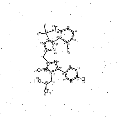 CC(F)(F)c1nc(Cn2nc(-c3ccc(Cl)cc3)n(C[C@H](O)C(F)(F)F)c2=O)nn1-c1c(F)cccc1Cl